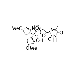 COc1ccc(C(c2ccccc2)(c2ccc(OC)cc2)C(O)[C@H]2O[C@H](n3nc(C)c(=O)[nH]c3=O)C[C@@H]2O)cc1